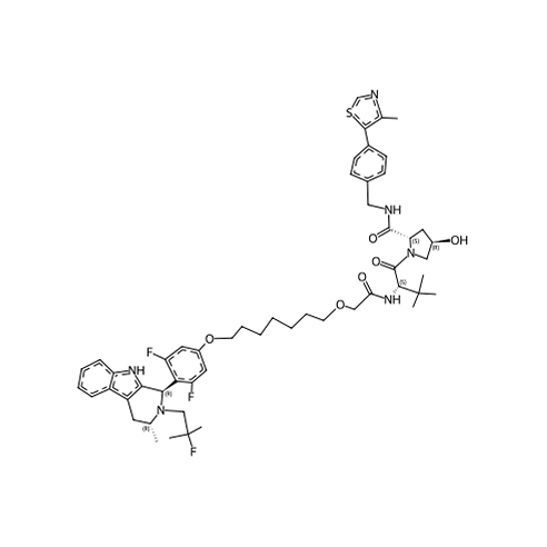 Cc1ncsc1-c1ccc(CNC(=O)[C@@H]2C[C@@H](O)CN2C(=O)[C@@H](NC(=O)COCCCCCCCOc2cc(F)c([C@@H]3c4[nH]c5ccccc5c4C[C@@H](C)N3CC(C)(C)F)c(F)c2)C(C)(C)C)cc1